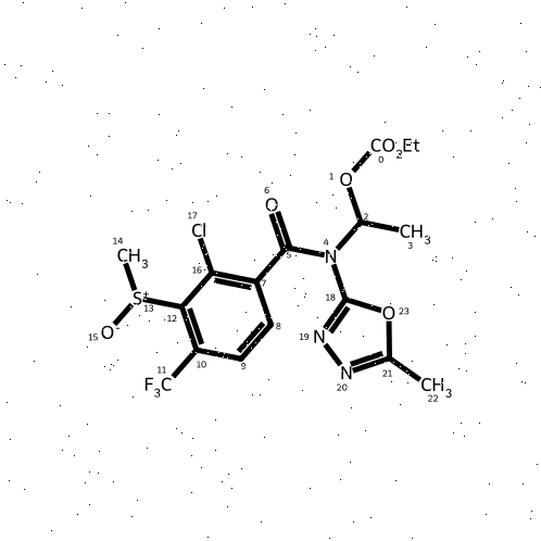 CCOC(=O)OC(C)N(C(=O)c1ccc(C(F)(F)F)c([S+](C)[O-])c1Cl)c1nnc(C)o1